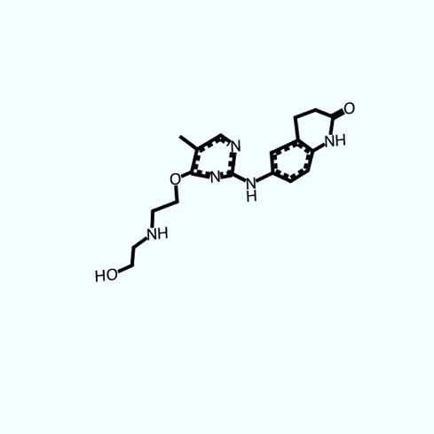 Cc1cnc(Nc2ccc3c(c2)CCC(=O)N3)nc1OCCNCCO